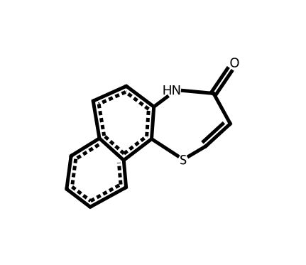 O=C1C=CSc2c(ccc3ccccc23)N1